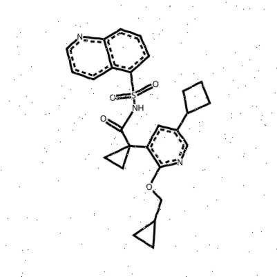 O=C(NS(=O)(=O)c1cccc2ncccc12)C1(c2cc(C3CCC3)cnc2OCC2CC2)CC1